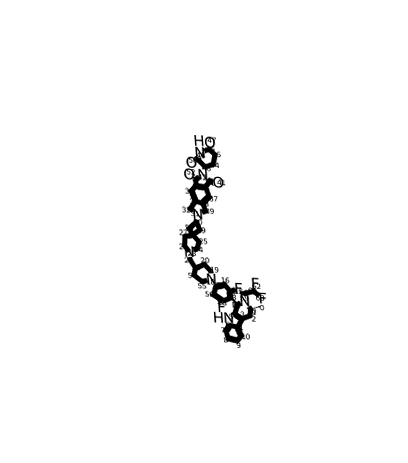 C[C@@H]1Cc2c([nH]c3ccccc23)[C@@H](c2c(F)cc(N3CCC(CN4CCC5(CC4)CC(N4Cc6cc7c(cc6C4)C(=O)N(C4CCC(=O)NC4=O)C7=O)C5)CC3)cc2F)N1CC(F)F